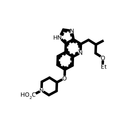 CCOCC(C)Cc1nc2cc(OC3CCN(C(=O)O)CC3)ccc2c2[nH]cnc12